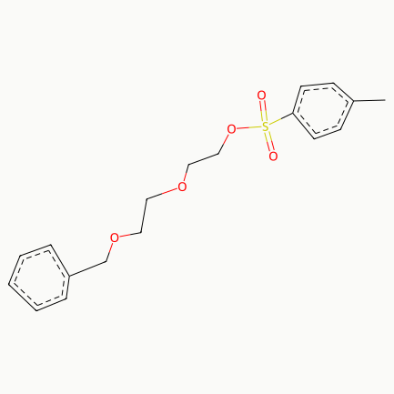 Cc1ccc(S(=O)(=O)OCCOCCOCc2ccccc2)cc1